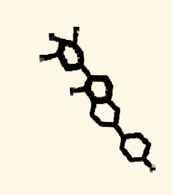 Fc1cc(-c2ccc3c(c2F)CCC(C2CCC(F)CC2)C3)cc(F)c1F